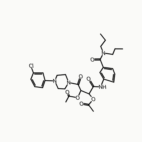 CCCN(CCC)C(=O)c1cccc(NC(=O)C(OC(C)=O)C(OC(C)=O)C(=O)N2CCN(c3cccc(Cl)c3)CC2)c1